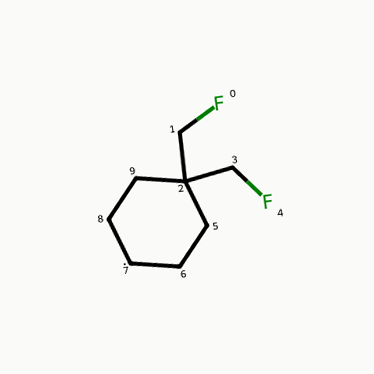 FCC1(CF)CC[CH]CC1